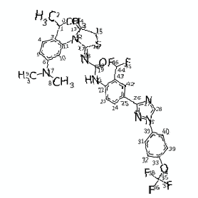 CC(C)c1ccc(N(C)C)cc1N1C(=O)CSC1=NC(=O)Nc1ccc(-c2ncn(-c3ccc(OC(F)(F)F)cc3)n2)cc1C(F)F